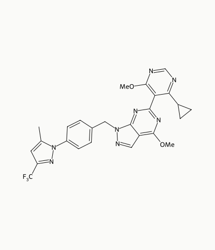 COc1ncnc(C2CC2)c1-c1nc(OC)c2cnn(Cc3ccc(-n4nc(C(F)(F)F)cc4C)cc3)c2n1